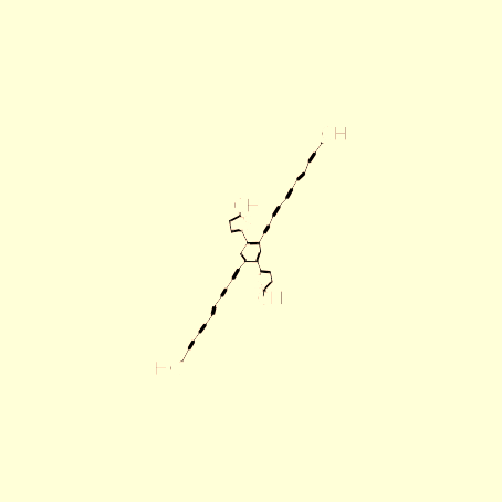 C#CC#CC#CC#CC#CC#Cc1cc(-c2ccc(C)s2)c(C#CC#CC#CC#CC#CC#C)cc1-c1ccc(C)s1